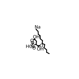 CCCCCCCCCCC[CH2][Na].O=C(O)CC(C(=O)O)S(=O)(=O)O